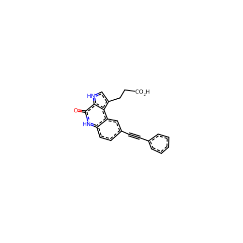 O=C(O)CCc1c[nH]c2c(=O)[nH]c3ccc(C#Cc4ccccc4)cc3c12